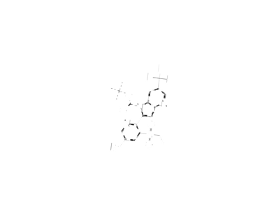 CCS(=O)(=O)c1cc(Br)cnc1-c1cc2ncc(C(F)(F)F)cc2n1C(=O)OC(C)(C)C